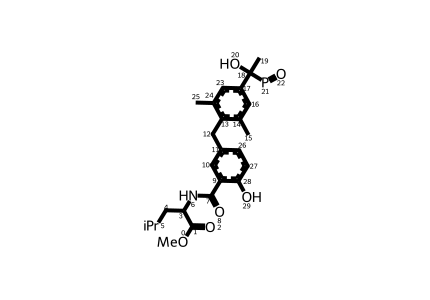 COC(=O)C(CC(C)C)NC(=O)c1cc(Cc2c(C)cc(C(C)(O)P=O)cc2C)ccc1O